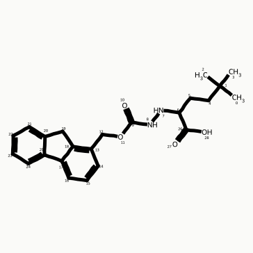 CC(C)(C)CCC(NNC(=O)OCc1cccc2c1Cc1ccccc1-2)C(=O)O